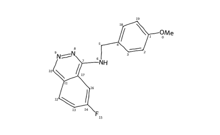 COc1ccc(CNc2nncc3ccc(F)cc23)cc1